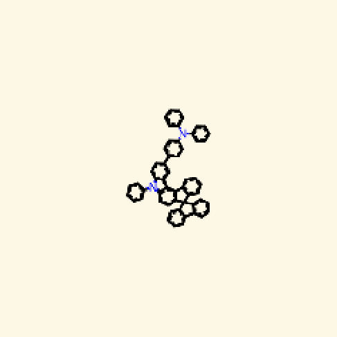 c1ccc(N(c2ccccc2)c2ccc(-c3ccc4c(c3)c3c5c(ccc3n4-c3ccccc3)C3(c4ccccc4-c4ccccc43)c3ccccc3-5)cc2)cc1